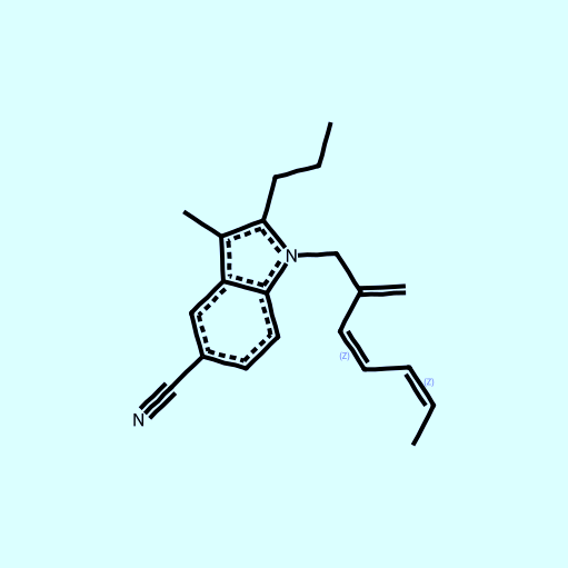 C=C(/C=C\C=C/C)Cn1c(CCC)c(C)c2cc(C#N)ccc21